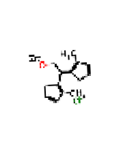 CC1=C(C(C[O][Zr+])C2=C(C)C=CC2)CC=C1.[Cl-]